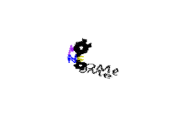 COc1ccc(-c2nnc(-c3cc(C)c(C)cc3I)s2)cc1OC